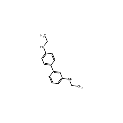 CCNc1ccc(-c2[c]ccc(NCC)c2)cc1